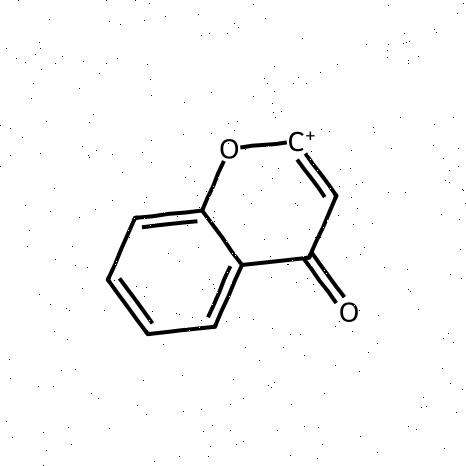 O=C1C=[C+]Oc2ccccc21